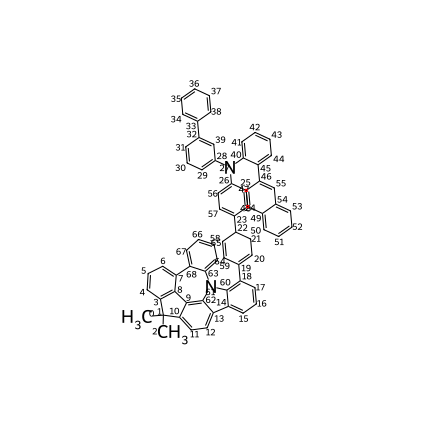 CC1(C)c2cccc3c2-c2c1ccc1c4cccc(C5=CCC(c6ccc(N(c7cccc(-c8ccccc8)c7)c7ccccc7-c7ccc8ccccc8c7)cc6)C=C5)c4n(c21)-c1ccccc1-3